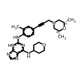 Cc1cc(C#CCN2C[C@@H](C)O[C@@H](C)C2)ccc1Nc1nc(NC2CCOCC2)c2ncnc-2[nH]1